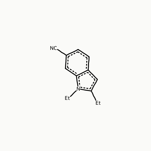 CCc1cc2ccc(C#N)cc2n1CC